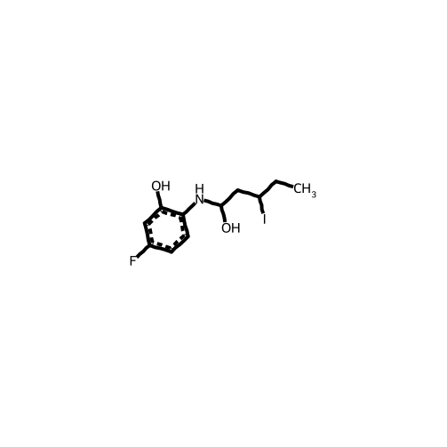 CCC(I)CC(O)Nc1ccc(F)cc1O